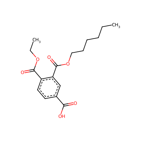 CCCCCCOC(=O)c1cc(C(=O)O)ccc1C(=O)OCC